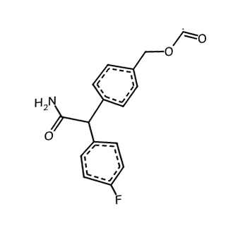 NC(=O)C(c1ccc(F)cc1)c1ccc(CO[C]=O)cc1